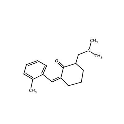 Cc1ccccc1C=C1CCCC(CN(C)C)C1=O